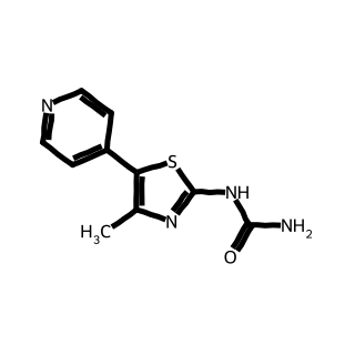 Cc1nc(NC(N)=O)sc1-c1ccncc1